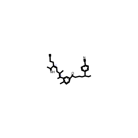 C#CCC/C(=C/C/C(C)=C(\C)c1cc(C(=O)CCCC(CC)c2ccc(C#N)cc2)ccc1C)C(C)=N